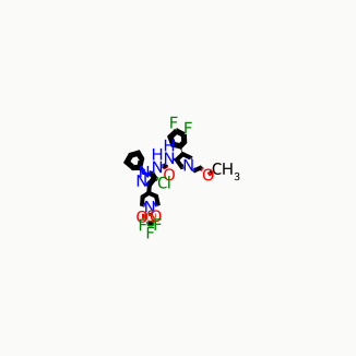 COCCN1C[C@@H](NC(=O)Nc2c(Cl)c(C3CCN(S(=O)(=O)C(F)(F)F)CC3)nn2-c2ccccc2)[C@H](c2ccc(F)c(F)c2)C1